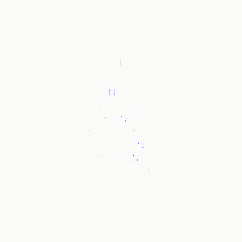 CCN1CCn2c(c(F)c3c(C(F)(F)F)n(C)nc32)C1